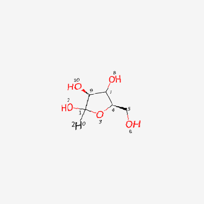 [2H]C1(O)O[C@H](CO)C(O)[C@@H]1O